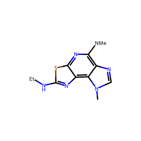 CCNc1nc2c(nc(NC)c3ncn(C)c32)s1